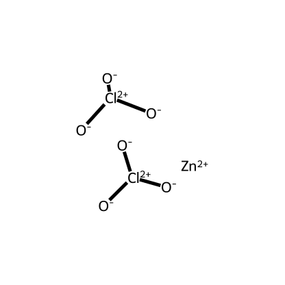 [O-][Cl+2]([O-])[O-].[O-][Cl+2]([O-])[O-].[Zn+2]